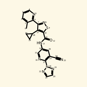 Cc1cccnc1-c1nsc(C(=O)Nc2cnc(-n3nccn3)c(C#N)c2)c1C1CC1